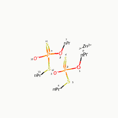 CCCOP([O-])(=S)SCCC.CCCOP([O-])(=S)SCCC.[Zn+2]